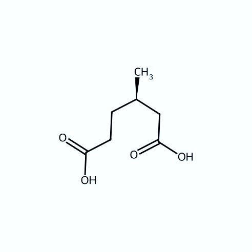 C[C@H](CCC(=O)O)CC(=O)O